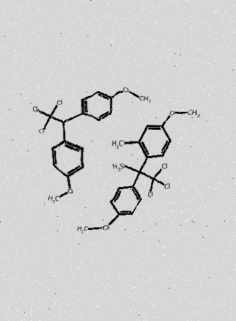 COc1ccc(C([SiH3])(c2ccc(OC)cc2C)C(Cl)(Cl)Cl)cc1.COc1ccc(C(c2ccc(OC)cc2)C(Cl)(Cl)Cl)cc1